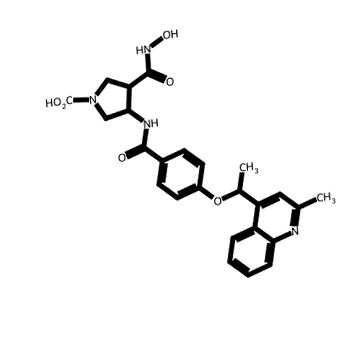 Cc1cc(C(C)Oc2ccc(C(=O)NC3CN(C(=O)O)CC3C(=O)NO)cc2)c2ccccc2n1